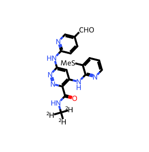 [2H]C([2H])([2H])NC(=O)c1nnc(Nc2ccc(C=O)cn2)cc1Nc1ncccc1SC